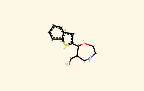 OCC1CNCCOC1c1cc2ccccc2s1